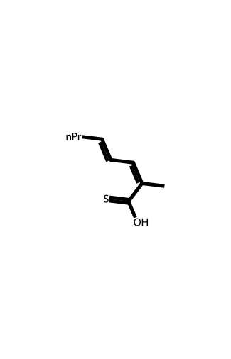 CCCC=CC=C(C)C(O)=S